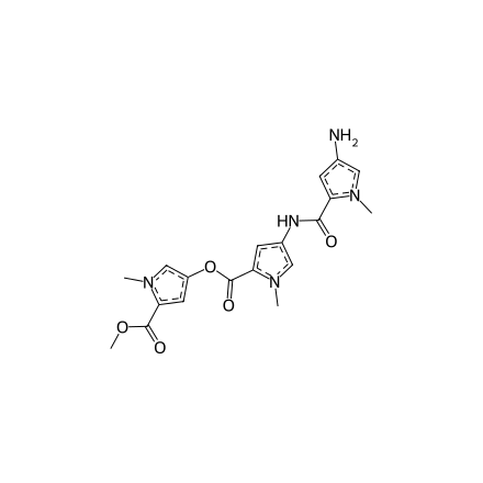 COC(=O)c1cc(OC(=O)c2cc(NC(=O)c3cc(N)cn3C)cn2C)cn1C